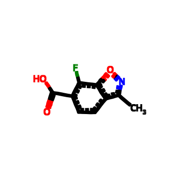 Cc1noc2c(F)c(C(=O)O)ccc12